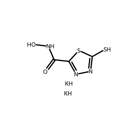 O=C(NO)c1nnc(S)s1.[KH].[KH]